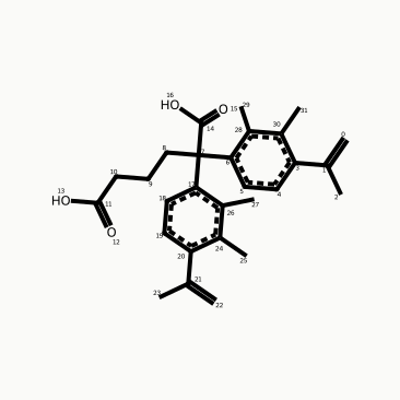 C=C(C)c1ccc(C(CCCC(=O)O)(C(=O)O)c2ccc(C(=C)C)c(C)c2C)c(C)c1C